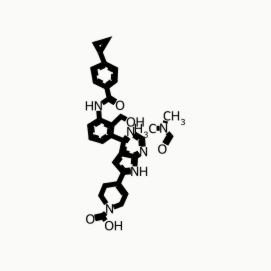 CN(C)C=O.O=C(Nc1cccc(-c2ncnc3[nH]c(C4=CCN(C(=O)O)CC4)cc23)c1CO)c1ccc(C2CC2)cc1